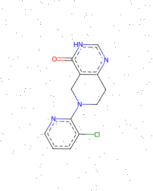 O=c1[nH]cnc2c1CN(c1ncccc1Cl)CC2